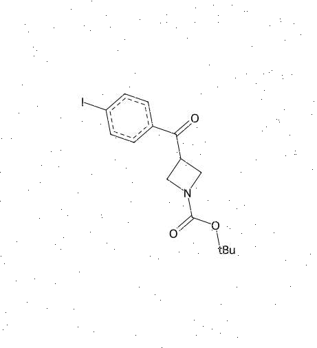 CC(C)(C)OC(=O)N1CC(C(=O)c2ccc(I)cc2)C1